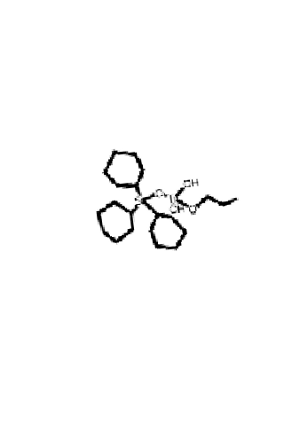 CCC[O][Ti]([OH])([OH])[O][Si](C1CCCCC1)(C1CCCCC1)C1CCCCC1